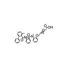 Cc1cccc(-c2ccccc2)c1C(=O)Nc1ccccc1C(=O)N(C)c1ccccc1OCC=NOCC(=O)O